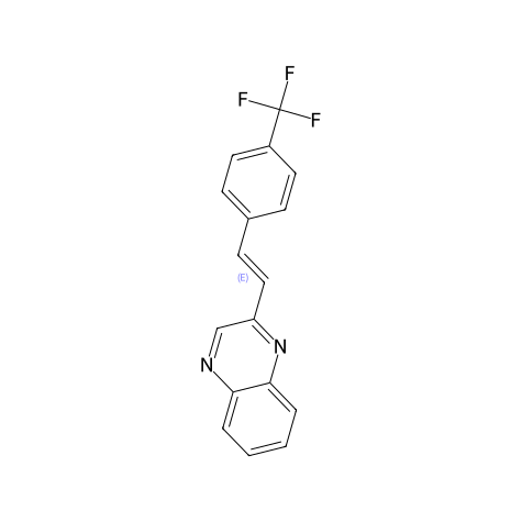 FC(F)(F)c1ccc(/C=C/c2cnc3ccccc3n2)cc1